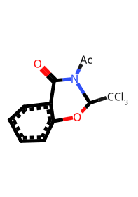 CC(=O)N1C(=O)c2ccccc2OC1C(Cl)(Cl)Cl